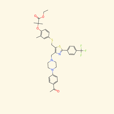 CCOC(=O)C(C)(C)Oc1ccc(SCc2sc(-c3ccc(C(F)(F)F)cc3)nc2CN2CCN(c3ccc(C(C)=O)cc3)CC2)cc1C